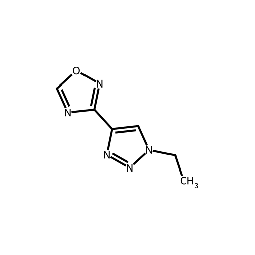 CCn1cc(-c2ncon2)nn1